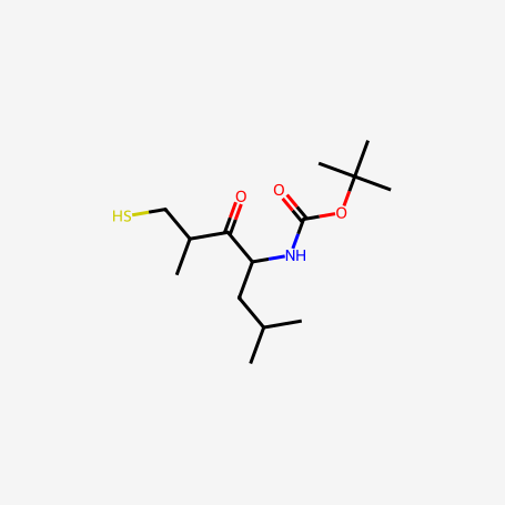 CC(C)CC(NC(=O)OC(C)(C)C)C(=O)C(C)CS